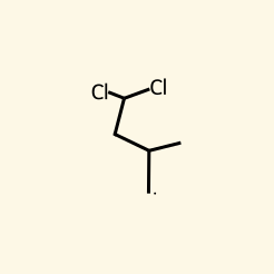 [CH2]C(C)CC(Cl)Cl